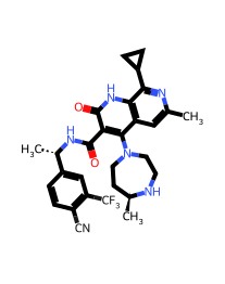 Cc1cc2c(N3CCN[C@@H](C)CC3)c(C(=O)N[C@@H](C)c3ccc(C#N)c(C(F)(F)F)c3)c(=O)[nH]c2c(C2CC2)n1